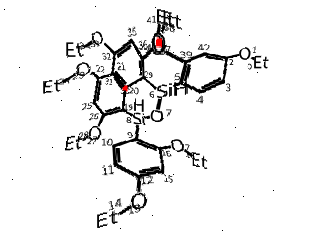 CCOc1ccc([SiH](O[SiH](c2ccc(OCC)cc2OCC)c2ccc(OCC)cc2OCC)c2ccc(OCC)cc2OCC)c(OCC)c1